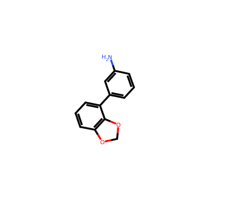 Nc1cccc(-c2cccc3c2OCO3)c1